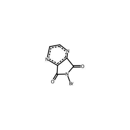 O=C1c2nccnc2C(=O)N1Br